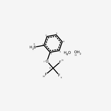 Bc1ccccc1OC(F)(F)F.O.O